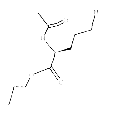 CCCOC(=O)[C@H](CCCN)NC(C)=O